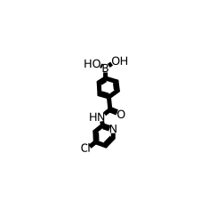 O=C(Nc1cc(Cl)ccn1)c1ccc(B(O)O)cc1